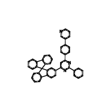 c1ccc(-c2nc(-c3ccc(-c4cccnc4)cc3)cc(-c3ccc4c(c3)C3(c5ccccc5-c5ccccc53)c3ccccc3-4)n2)cc1